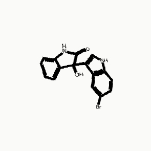 O=C1Nc2ccccc2C1(O)c1c[nH]c2ccc(Br)cc12